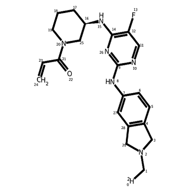 [2H]CN1Cc2ccc(Nc3ncc(F)c(N[C@@H]4CCCN(C(=O)C=C)C4)n3)cc2C1